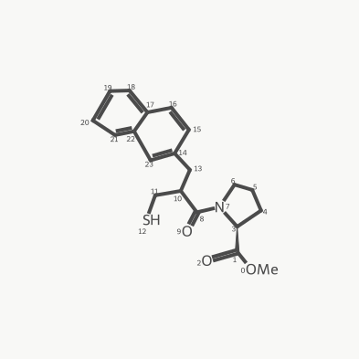 COC(=O)[C@@H]1CCCN1C(=O)C(CS)Cc1ccc2ccccc2c1